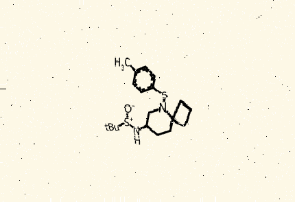 Cc1ccc(SN2CC(N[S+]([O-])C(C)(C)C)CCC23CCC3)cc1